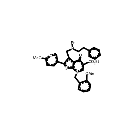 CCOC(=O)c1cn(Cc2ccccc2OC)c2sc(-c3ccc(OC)cc3)c(CN(CC)CCc3ccccc3)c2c1=O